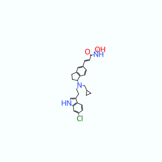 O=C(C=Cc1ccc2c(c1)CCC2N(CCc1c[nH]c2cc(Cl)ccc12)CC1CC1)NO